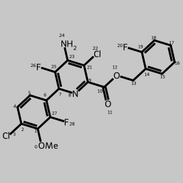 COc1c(Cl)ccc(-c2nc(C(=O)OCc3ccccc3F)c(Cl)c(N)c2F)c1F